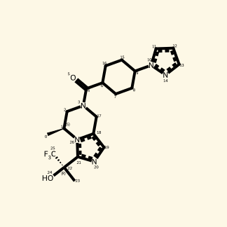 C[C@H]1CN(C(=O)C2CCC(n3cccn3)CC2)Cc2cnc([C@@](C)(O)C(F)(F)F)n21